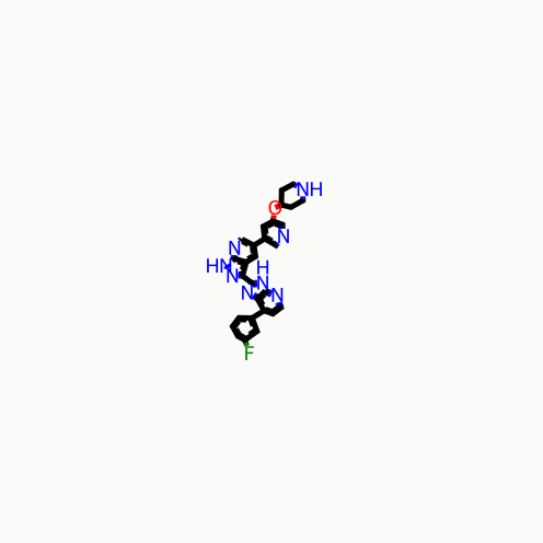 Fc1cccc(-c2ccnc3[nH]c(-c4n[nH]c5ncc(-c6cncc(OC7CCNCC7)c6)cc45)nc23)c1